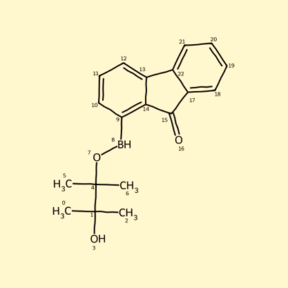 CC(C)(O)C(C)(C)OBc1cccc2c1C(=O)c1ccccc1-2